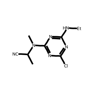 CCNc1nc(Cl)nc(N(C)C(C)C#N)n1